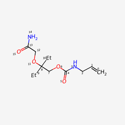 C=CCNC(=O)OCC(CC)(CC)OCC(N)=O